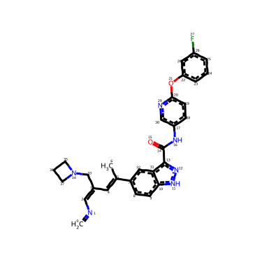 C=N/C=C(\C=C(/C)c1ccc2[nH]nc(C(=O)Nc3ccc(Oc4cccc(F)c4)nc3)c2c1)CN1CCC1